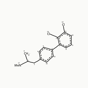 [CH2]C(Cc1ccc(-c2cccc(Cl)c2Cl)cc1)NC